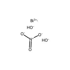 O=[N+]([O-])[O-].[Bi+3].[OH-].[OH-]